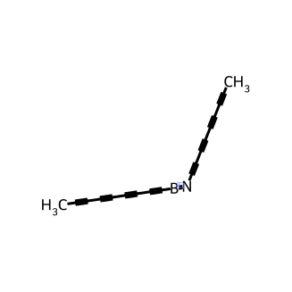 CC#CC#CC#CC#C/B=N/C#CC#CC#CC#CC